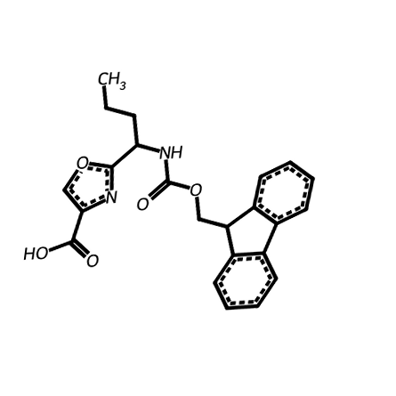 CCCC(NC(=O)OCC1c2ccccc2-c2ccccc21)c1nc(C(=O)O)co1